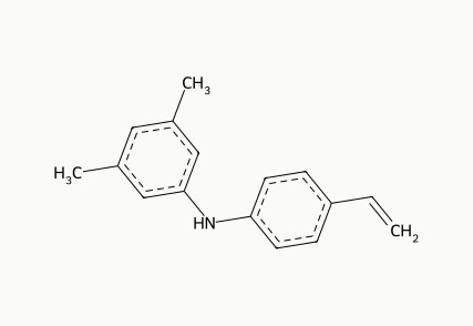 C=Cc1ccc(Nc2cc(C)cc(C)c2)cc1